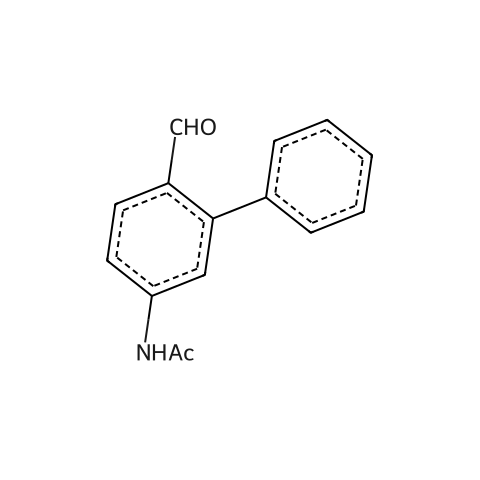 CC(=O)Nc1ccc(C=O)c(-c2ccccc2)c1